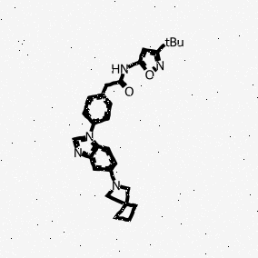 CC(C)(C)c1cc(NC(=O)Cc2ccc(-n3cnc4cc(N5CC6(CCC6)C5)ccc43)cc2)on1